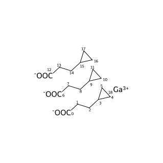 O=C([O-])CCC1CC1.O=C([O-])CCC1CC1.O=C([O-])CCC1CC1.[Ga+3]